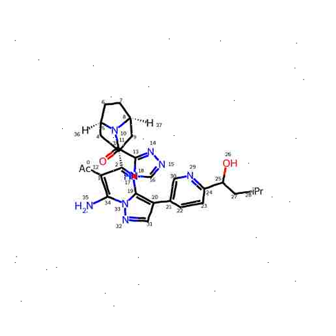 CC(=O)c1c([C@@H]2C[C@H]3CC[C@@H](C2)N3C(=O)c2nnc[nH]2)nc2c(-c3ccc(C(O)CC(C)C)nc3)cnn2c1N